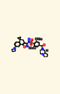 COc1cc(C(=O)N2CCN3CCC[C@@H]3C2)cc(OC)c1S(=O)(=O)Nc1noc2c1CC1(CC1)c1ccc(N3CCC3)cc1-2